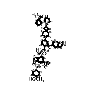 CC(C)c1ccccc1[C@@H]1CCCN1C1CC2(CCN(c3ccc(C(=O)NS(=O)(=O)c4cc([N+](=O)[O-])c(NC[C@H]5CC[C@](C)(O)CC5)c5c4ncn5C)c(Oc4cnc5[nH]ccc5c4)c3)CC2)C1